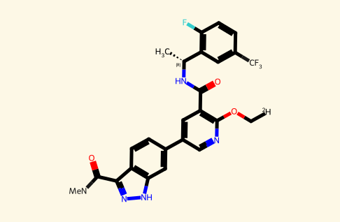 [2H]COc1ncc(-c2ccc3c(C(=O)NC)n[nH]c3c2)cc1C(=O)N[C@H](C)c1cc(C(F)(F)F)ccc1F